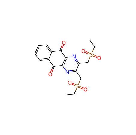 CCS(=O)(=O)Cc1nc2c(nc1CS(=O)(=O)CC)C(=O)c1ccccc1C2=O